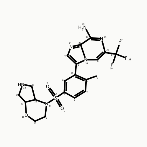 Cc1ccc(S(=O)(=O)N2CCOC3CNCC32)cc1-c1cnc2c(N)nc(C(F)(F)F)cn12